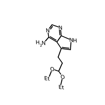 CCOC(CCc1c[nH]c2ncnc(N)c12)OCC